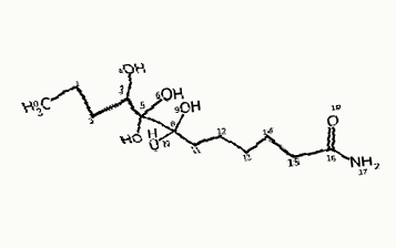 CCCC(O)C(O)(O)C(O)(O)CCCCCC(N)=O